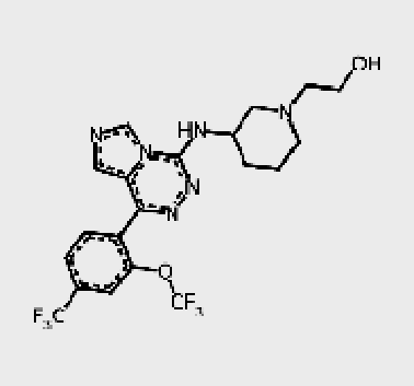 OCCN1CCCC(Nc2nnc(-c3ccc(C(F)(F)F)cc3OC(F)(F)F)c3cncn23)C1